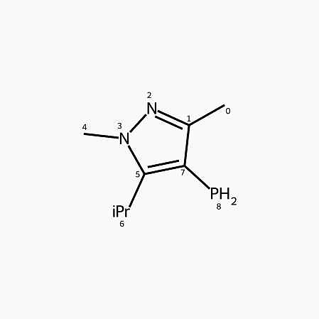 Cc1nn(C)c(C(C)C)c1P